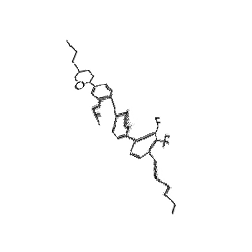 CCCCCCc1ccc(-c2ccc(-c3ccc(C4CCC(CCC)CO4)cc3F)cc2)c(F)c1F